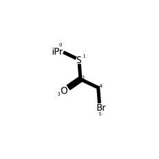 CC(C)SC(=O)CBr